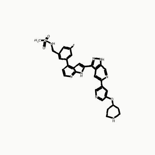 CS(=O)(=O)NCc1cc(F)cc(-c2ccnc3[nH]c(-c4n[nH]c5cnc(-c6cncc(OC7CCNCC7)c6)cc45)cc23)c1